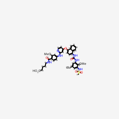 COc1cc(Nc2cc(Oc3ccc(NC(=O)Nc4cc(C(C)(C)C)cc(NS(C)(=O)=O)c4OC)c4ccccc34)ccn2)ccc1C(=O)NCCCCC(=O)O